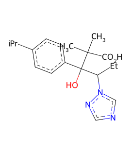 CCC(n1cncn1)C(O)(c1ccc(C(C)C)cc1)C(C)(C)C(=O)O